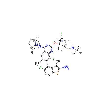 [2H]C([2H])([2H])N1CC/C(=C\F)[C@](C)(C([2H])([2H])Oc2nc(N3C[C@H]4CC[C@@H](C3)N4)c3cc(C(F)(F)F)c(-c4c(F)ccc5sc(N)c(C#N)c45)c(F)c3n2)C1